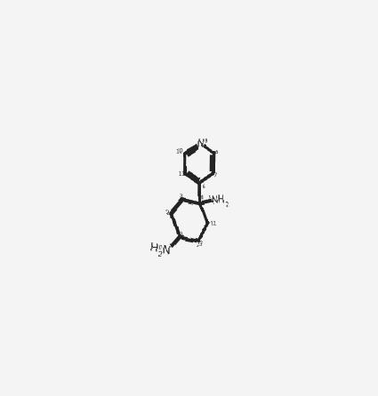 NC1CCC(N)(c2ccncc2)CC1